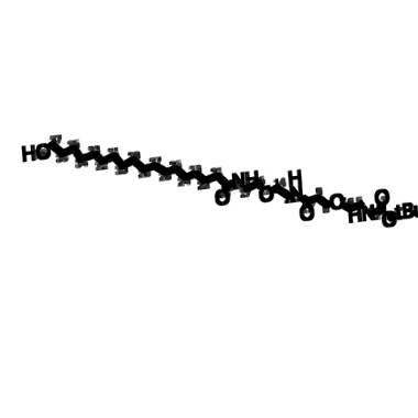 CC(C)(C)OC(=O)NCCOCCC(=O)NCCOCCNC(=O)CCCCCCCCCCCCCCCCCO